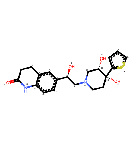 O=C1CCc2cc([C@@H](O)CN3CC[C@](O)(c4cccs4)[C@@H](O)C3)ccc2N1